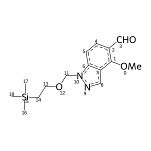 COc1c(C=O)ccc2c1cnn2COCC[Si](C)(C)C